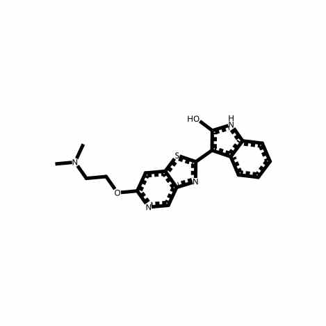 CN(C)CCOc1cc2sc(-c3c(O)[nH]c4ccccc34)nc2cn1